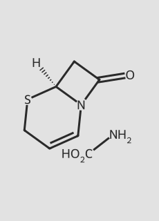 NC(=O)O.O=C1C[C@@H]2SCC=CN12